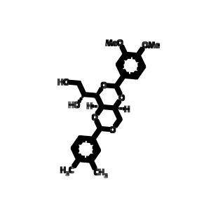 COc1ccc(C2O[C@H]([C@H](O)CO)[C@@H]3OC(c4ccc(C)c(C)c4)OC[C@@H]3O2)cc1OC